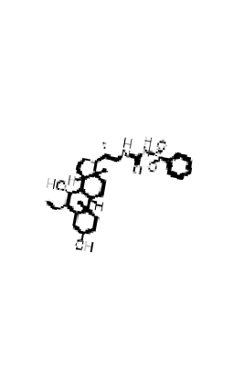 CC[C@@H]1C2C[C@H](O)CCC2(C)[C@H]2CCC3(C)[C@@H]([C@H](C)CNC(=O)NS(=O)(=O)c4ccccc4)CC[C@H]3C2[C@@H]1O